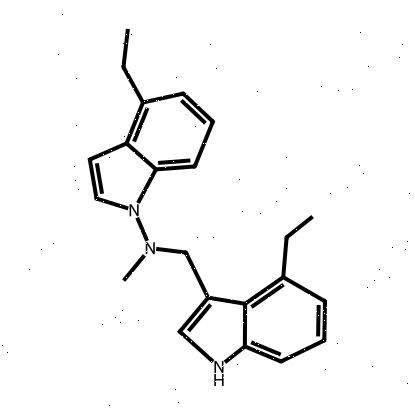 CCc1cccc2c1ccn2N(C)Cc1c[nH]c2cccc(CC)c12